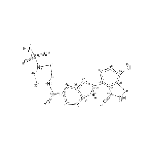 CS(=O)(=O)N1CCN(C(=O)c2ccc3[nH]c(-c4ccc(Cl)c5c4C(=O)NC5)cc3c2)CC1